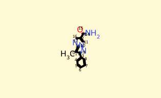 Cc1c(-c2ccccc2)nn2cc(C(N)=O)cnc12